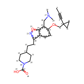 CC#CC1(COc2ccc3c(CCC4CCN(C(=O)O)CC4)noc3c2CN(C)C)CC1